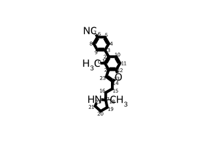 Cc1c(-c2ccc(C#N)cc2)ccc2oc(CC[C@@]3(C)CCCN3)cc12